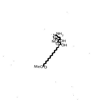 COC(=O)CCCCCCCCCCCCCC[C@H]1O[C@@](C#N)(c2ccc3c(N)ncnn23)[C@H](O)[C@@H]1O